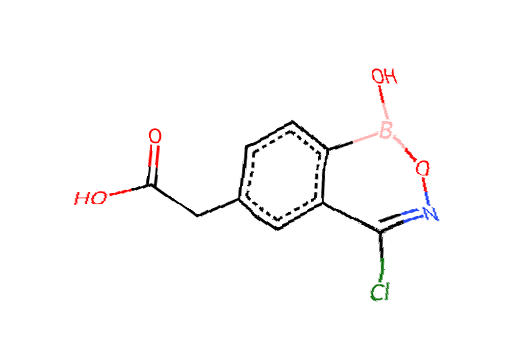 O=C(O)Cc1ccc2c(c1)C(Cl)=NOB2O